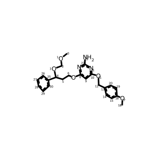 COCOC(CCOc1cc(OCc2ccc(OC)cc2)nc(N)n1)c1ccccc1